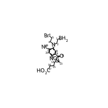 BCCN(CCBr)c1cc(C(=O)N(C)CCCC(=O)O)c([N+](=O)[O-])cc1C#N